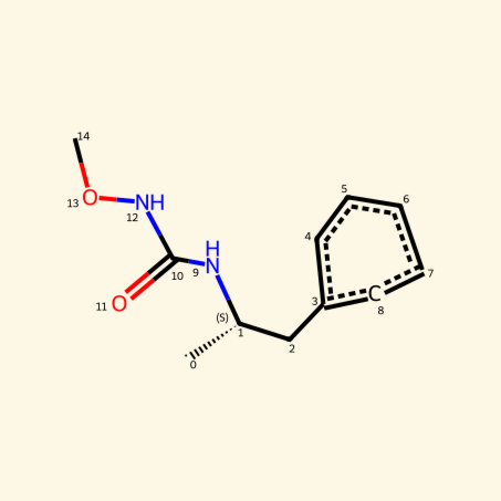 [CH2][C@@H](Cc1ccccc1)NC(=O)NOC